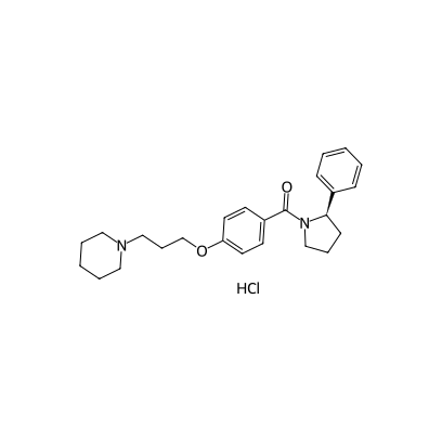 Cl.O=C(c1ccc(OCCCN2CCCCC2)cc1)N1CCC[C@@H]1c1ccccc1